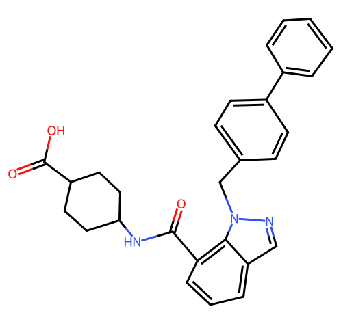 O=C(NC1CCC(C(=O)O)CC1)c1cccc2cnn(Cc3ccc(-c4ccccc4)cc3)c12